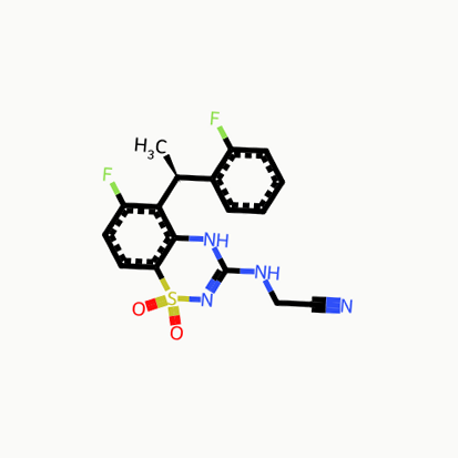 C[C@@H](c1ccccc1F)c1c(F)ccc2c1NC(NCC#N)=NS2(=O)=O